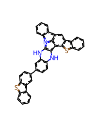 c1ccc2c(c1)sc1ccc(-c3ccc4c(c3)Nc3c(c5c6sc7ccccc7c6cc6c7ccccc7n3c65)N4)cc12